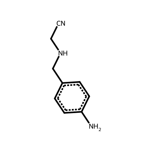 N#CCNCc1ccc(N)cc1